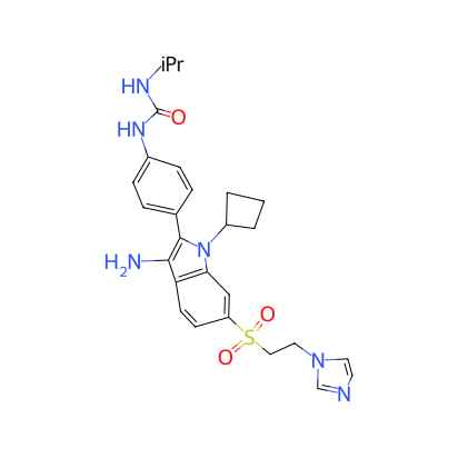 CC(C)NC(=O)Nc1ccc(-c2c(N)c3ccc(S(=O)(=O)CCn4ccnc4)cc3n2C2CCC2)cc1